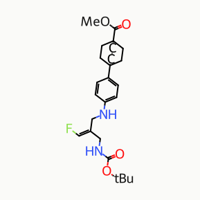 COC(=O)C12CCC(c3ccc(NC/C(=C\F)CNC(=O)OC(C)(C)C)cc3)(CC1)CC2